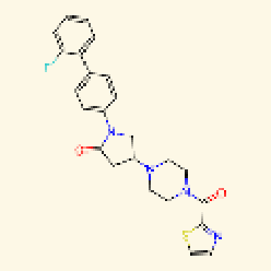 O=C(c1nccs1)N1CCN(C2CC(=O)N(c3ccc(-c4ccccc4F)cc3)C2)CC1